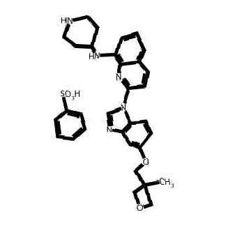 CC1(COc2ccc3c(c2)ncn3-c2ccc3cccc(NC4CCNCC4)c3n2)COC1.O=S(=O)(O)c1ccccc1